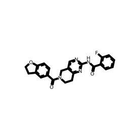 O=C(Nc1ncc2c(n1)CCN(C(=O)c1ccc3c(c1)CCO3)C2)c1ccccc1F